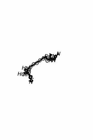 Cc1ncsc1-c1ccc(CNC(=O)C2C[C@@H](O)CN2C(=O)[C@@H](NC(=O)COCCOCCOCCOCCOC(C)C(F)CNC(=O)c2cnc(-n3ncc4cc(C#N)cnc43)cc2NC2CC2)C(C)(C)C)cc1